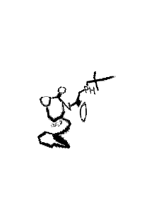 CC(C)(C)CPCC(=O)N1C(=O)OC[C@@H]1Cc1ccccc1